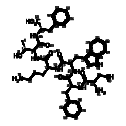 C[C@@H](O)[C@H](NC(=O)[C@H](CCCN)NC(=O)[C@@H](Cc1c[nH]c2ccccc12)NC(=O)[C@H](Cc1ccccc1)NC(=O)[C@@H](N)CS)C(=O)N[C@@H](Cc1ccccc1)C(=O)O